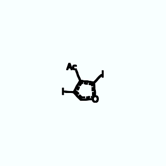 CC(=O)c1c(I)coc1I